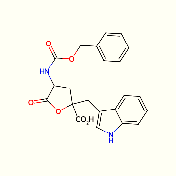 O=C(NC1CC(Cc2c[nH]c3ccccc23)(C(=O)O)OC1=O)OCc1ccccc1